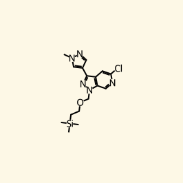 Cn1cc(-c2nn(COCC[Si](C)(C)C)c3cnc(Cl)cc23)cn1